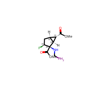 COC(=O)[C@H]1[C@@H]2C[C@H](F)[C@@](NCP)(C(=O)OC)[C@@H]21